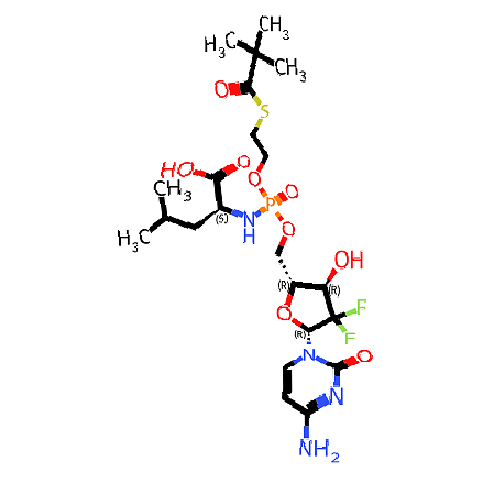 CC(C)C[C@H](NP(=O)(OCCSC(=O)C(C)(C)C)OC[C@H]1O[C@@H](n2ccc(N)nc2=O)C(F)(F)[C@@H]1O)C(=O)O